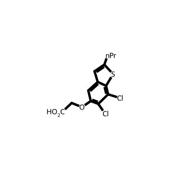 CCCc1cc2cc(OCC(=O)O)c(Cl)c(Cl)c2s1